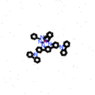 c1ccc(-c2nc(-c3ccccc3)nc(-n3c4ccc(-n5c6ccccc6c6ccccc65)cc4c4ccc5c6cc(-n7c8ccccc8c8ccccc87)ccc6n(-c6ccccc6)c5c43)n2)cc1